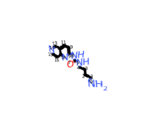 NCCCCNC(=O)Nc1ccc2cnccc2n1